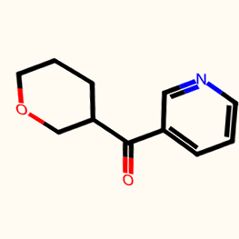 O=C(c1cccnc1)C1CCCOC1